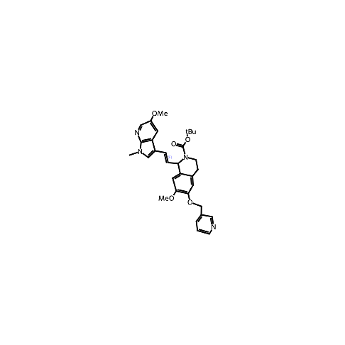 COc1cnc2c(c1)c(/C=C/C1c3cc(OC)c(OCc4cccnc4)cc3CCN1C(=O)OC(C)(C)C)cn2C